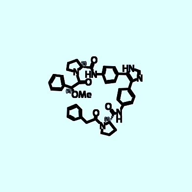 CO[C@H](C(=O)N1CCC[C@H]1C(=O)Nc1ccc(-c2[nH]cnc2-c2ccc(NC(=O)[C@@H]3CCCN3C(=O)Cc3ccccc3)cc2)cc1)c1ccccc1